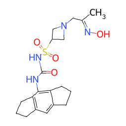 CC(CN1CC(S(=O)(=O)NC(=O)Nc2c3c(cc4c2CCC4)CCC3)C1)=NO